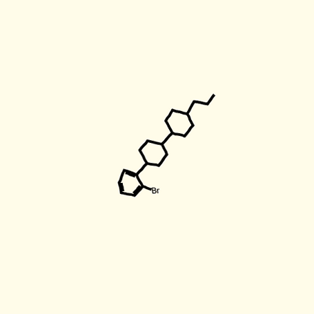 CCCC1CCC(C2CCC(c3ccccc3Br)CC2)CC1